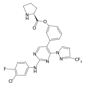 O=C(Oc1cccc(-c2cnc(Nc3ccc(F)c(Cl)c3)nc2-n2ccc(C(F)(F)F)n2)c1)[C@@H]1CCCN1